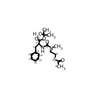 CC(=O)SCCN(C)C(=O)NC(Cc1ccccc1)C(=O)OC(C)(C)C